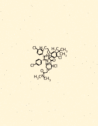 CCOc1cc(C(C)(C)C)c(Cl)cc1C1(C(=O)N2CCN(CC(=O)N(C)C)CC2)N[C@H](c2ccc(Cl)cc2)[C@H](c2ccc(Cl)cc2)N1.Cl